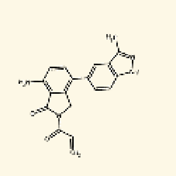 C=CC(=O)N1Cc2c(-c3ccc4[nH]nc(C)c4c3)ccc(N)c2C1=O